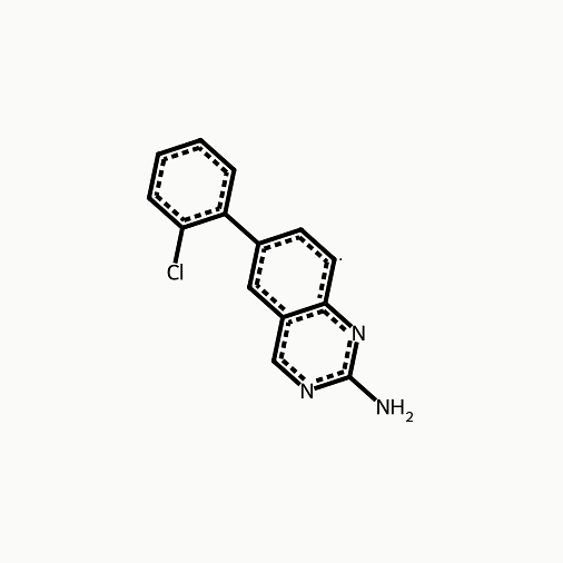 Nc1ncc2cc(-c3ccccc3Cl)c[c]c2n1